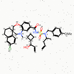 C=CCC(C)N(Cc1ccc(OC)cc1)S(=O)(=O)NC(=O)c1ccc2c(c1)N(C[C@@H]1CC[C@H]1C(O)C=C)C[C@@]1(CCCc3cc(Cl)ccc31)CO2